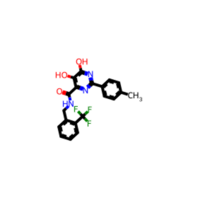 Cc1ccc(-c2nc(O)c(O)c(C(=O)NCc3ccccc3C(F)(F)F)n2)cc1